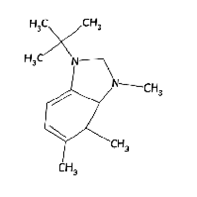 CC1=CC=C2C(C1C)N(C)CN2C(C)(C)C